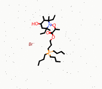 CCCC[P+](CCCC)(CCCC)CCCOC(=O)C(C)ON1C(C)(CC)CC(O)C(C)C1(C)CC.[Br-]